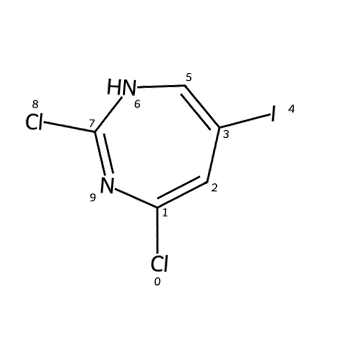 ClC1=CC(I)=CNC(Cl)=N1